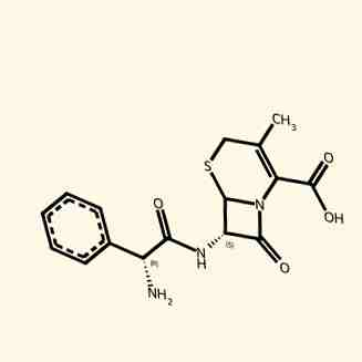 CC1=C(C(=O)O)N2C(=O)[C@H](NC(=O)[C@H](N)c3ccccc3)C2SC1